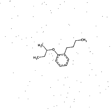 CCCCc1ccccc1OC(C)CC